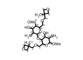 COC1OC(COCC2(C)COC2)C(OC2OC(COCC3(C)COC3)C(OC)C(O)C2N)C(O)C1N